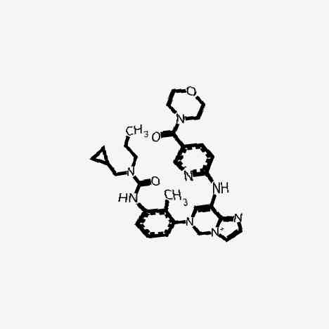 CCCN(CC1CC1)C(=O)Nc1cccc(N2C=C(Nc3ccc(C(=O)N4CCOCC4)cn3)C3=NC=C[N+]3C2)c1C